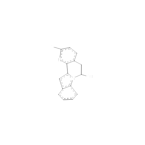 CC1Cc2ccc(Cl)nc2-c2cc3ccccc3n21